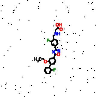 CCOc1cc(-c2nc(-c3ccc(CNCC(=O)O)c(F)c3)no2)ccc1-c1ccccc1F